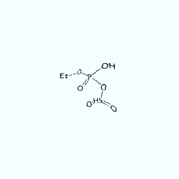 CCOP(=O)(O)O[SH](=O)=O